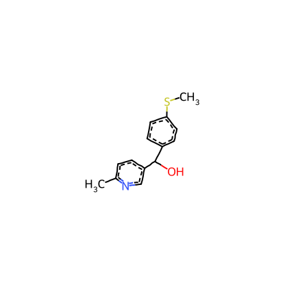 CSc1ccc(C(O)c2ccc(C)nc2)cc1